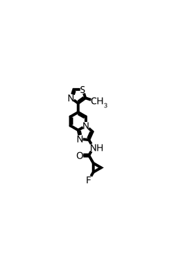 Cc1scnc1-c1ccc2nc(NC(=O)C3CC3F)cn2c1